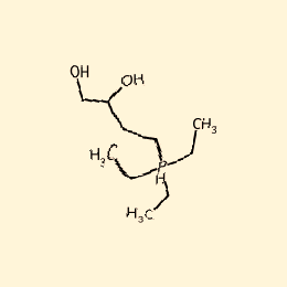 CC[PH](CC)(CC)CCC(O)CO